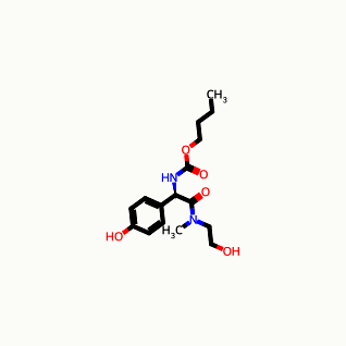 CCCCOC(=O)N[C@@H](C(=O)N(C)CCO)c1ccc(O)cc1